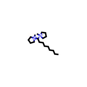 CCCCCCCCC([N+]1(C)CCCC1)[N+]1(C)CCCC1